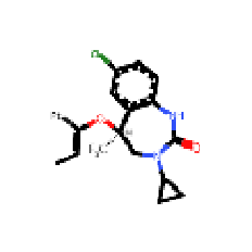 CC=C(CC)O[C@]1(C(F)(F)F)CN(C2CC2)C(=O)Nc2ccc(Cl)cc21